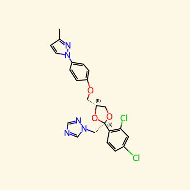 Cc1ccn(-c2ccc(OC[C@@H]3CO[C@@](Cn4cncn4)(c4ccc(Cl)cc4Cl)O3)cc2)n1